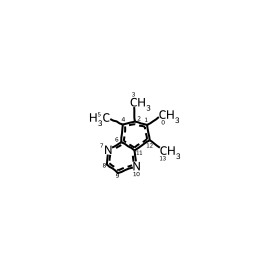 Cc1c(C)c(C)c2nccnc2c1C